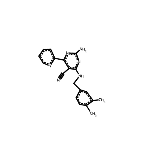 Cc1ccc(CNc2nc(N)nc(-c3ccccn3)c2C#N)cc1C